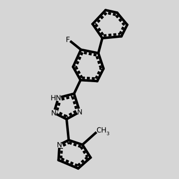 Cc1cccnc1-c1n[nH]c(-c2ccc(-c3ccccc3)c(F)c2)n1